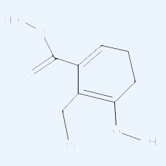 COC(=O)C1=CCCC(OC)=C1CBr